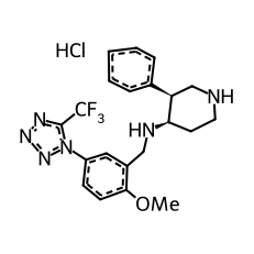 COc1ccc(-n2nnnc2C(F)(F)F)cc1CN[C@@H]1CCNC[C@@H]1c1ccccc1.Cl